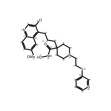 COc1ccc2ncc(Cl)c(CCCC3(C(=O)NO)CCN(CCSc4cccnc4)CC3)c2c1